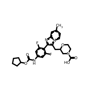 Cc1ccn2c(CC3CN(C(=O)O)CCO3)c(-c3c(F)cc(NC(=O)OC4CCCC4)cc3F)nc2c1